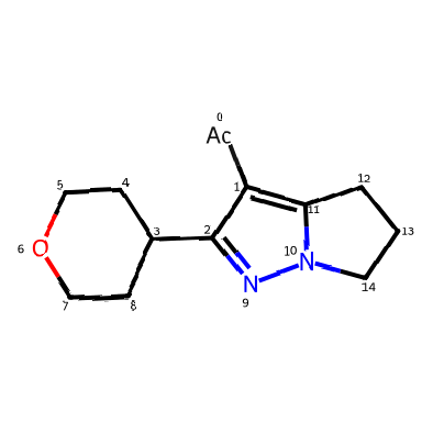 CC(=O)c1c(C2CCOCC2)nn2c1CCC2